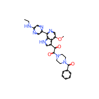 CCNc1cnc(-c2ncc(OC)c3c(C(=O)C(=O)N4CCN(C(=O)c5ccccc5)CC4)c[nH]c23)cn1